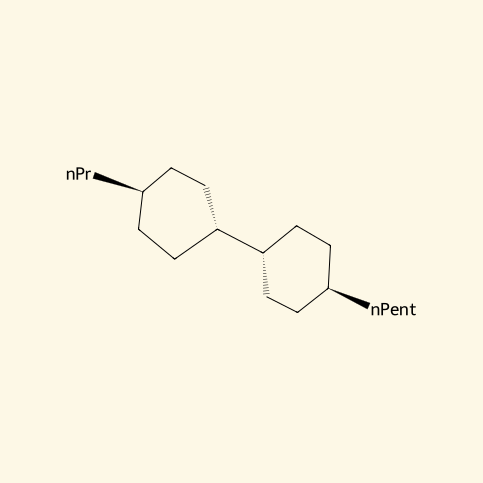 CCCCC[C@H]1CC[C@H]([C@H]2CC[C@H](CCC)CC2)CC1